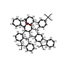 CC(C)(C)c1ccc(N2c3cc4c(cc3B3c5c2cc2sc6ccccc6c2c5-c2cccc5c2N3c2ccccc2C5(C)C)C(C)(C)c2ccccc2-4)c(-c2ccccc2)c1